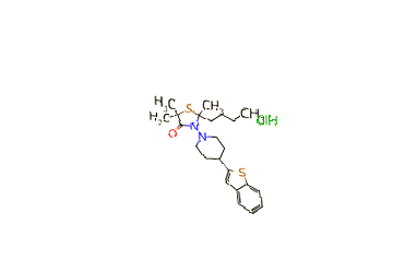 CCCCC1(C)SC(C)(C)C(=O)N1N1CCC(c2cc3ccccc3s2)CC1.Cl